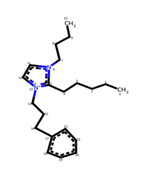 CCCCCc1n(CCCC)cc[n+]1CCCc1ccccc1